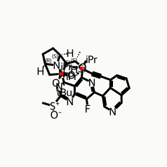 CC(C)[Si](C#Cc1cccc2cncc(-c3nc4c5c(nc([S+](C)[O-])nc5c3F)N3C[C@H]5CC[C@@H]([C@H]3[C@H](C)O4)N5C(=O)OC(C)(C)C)c12)(C(C)C)C(C)C